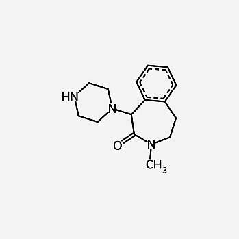 CN1CCc2ccccc2C(N2CCNCC2)C1=O